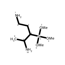 CO[Si](OC)(OC)C(CCN)C(C)N